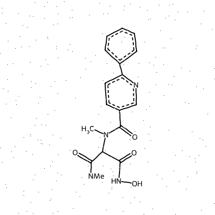 CNC(=O)C(C(=O)NO)N(C)C(=O)c1ccc(-c2ccccc2)nc1